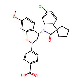 COc1ccc2c(c1)O[C@@H](c1ccc(C(=O)O)cc1)C[C@H]2NC(=O)C1(c2ccc(Cl)cc2)CCCC1